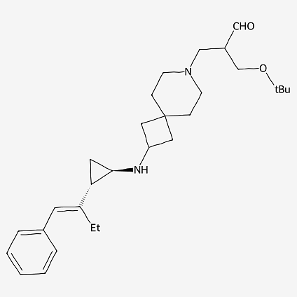 CC/C(=C\c1ccccc1)[C@@H]1C[C@H]1NC1CC2(CCN(CC(C=O)COC(C)(C)C)CC2)C1